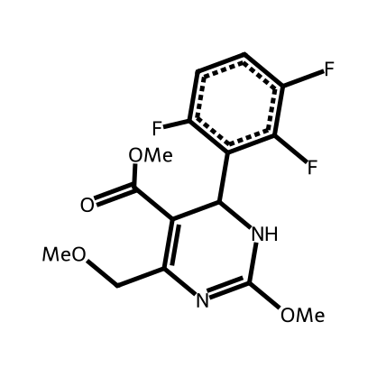 COCC1=C(C(=O)OC)C(c2c(F)ccc(F)c2F)NC(OC)=N1